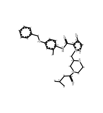 Cc1cc(OCc2ccccc2)ccc1NC(=O)c1c(Cl)cnn1CC1CN(C(=O)CC(C)C)CCO1